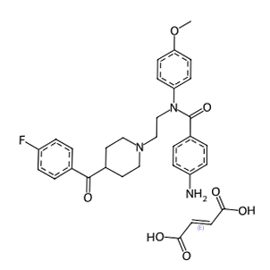 COc1ccc(N(CCN2CCC(C(=O)c3ccc(F)cc3)CC2)C(=O)c2ccc(N)cc2)cc1.O=C(O)/C=C/C(=O)O